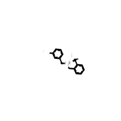 O=C(NCc1ccccc1C(F)(F)F)c1c[c]cc([AsH2])c1